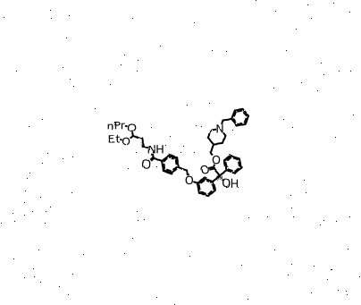 CCCOC(CCNC(=O)c1ccc(COc2cccc([C@@](O)(C(=O)OCC3CCN(Cc4ccccc4)CC3)c3ccccc3)c2)cc1)OCC